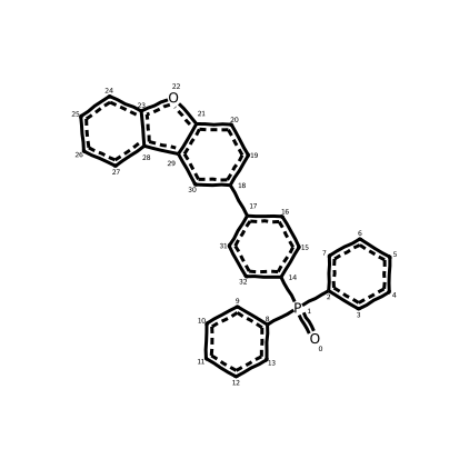 O=P(c1ccccc1)(c1ccccc1)c1ccc(-c2ccc3oc4ccccc4c3c2)cc1